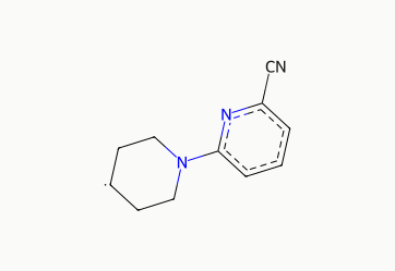 N#Cc1cccc(N2CC[CH]CC2)n1